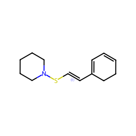 C1=CCCC(/C=C/SN2CCCCC2)=C1